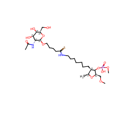 B[C@@H]1O[C@H](COC)C(OP(=O)(O)OC)[C@@H]1CCCCCCCNC(=S)CCCCO[C@@H]1O[C@H](CO)[C@H](O)[C@H](O)[C@H]1NC(C)=O